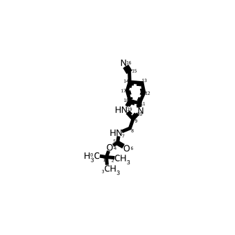 CC(C)(C)OC(=O)NCc1nc2ccc(C#N)cc2[nH]1